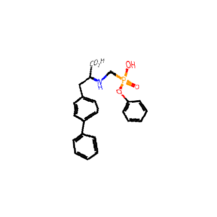 O=C(O)C(Cc1ccc(-c2ccccc2)cc1)NCP(=O)(O)Oc1ccccc1